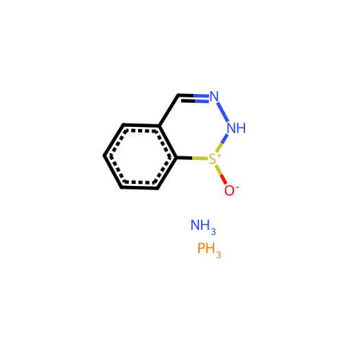 N.P.[O-][S+]1NN=Cc2ccccc21